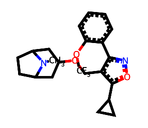 CN1C2CCC1CC(OCc1c(-c3ccccc3OC(F)(F)F)noc1C1CC1)C2